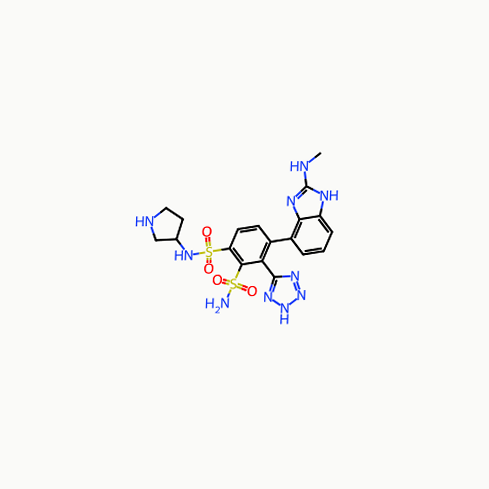 CNc1nc2c(-c3ccc(S(=O)(=O)NC4CCNC4)c(S(N)(=O)=O)c3-c3nn[nH]n3)cccc2[nH]1